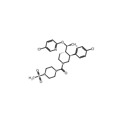 C[C@H](Oc1ccc(Cl)cn1)[C@H]1CCN(C(=O)N2CCN(S(C)(=O)=O)CC2)C[C@@H]1c1ccc(Cl)cc1